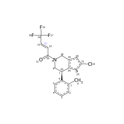 Cc1ccccc1[C@H]1CN(C(=O)/C=C/C(F)(F)F)Cc2cc(Cl)sc21